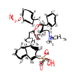 CCC(=O)O[C@@](Cc1ccccc1)(c1ccccc1)[C@@H](C)CN(C)C.O.O=S(=O)(O)c1ccc2ccccc2c1